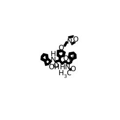 CC(=O)NC(Cc1ccccc1)C(O)CC(C(=O)NC1c2ccccc2CC1O)c1ccc(OCCN2CCOCC2)cc1